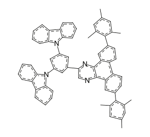 Cc1cc(C)c(-c2ccc3c4ccc(-c5c(C)cc(C)cc5C)cc4c4nc(-c5cc(-n6c7ccccc7c7ccccc76)cc(-n6c7ccccc7c7ccccc76)c5)cnc4c3c2)c(C)c1